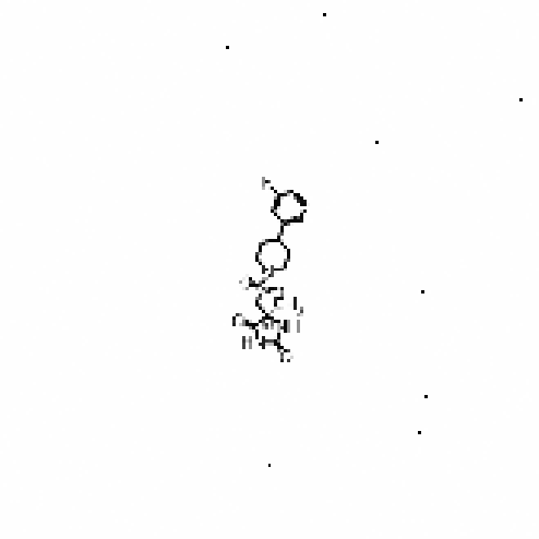 C[C@]1(CS(=O)(=O)N2CCC(c3cccc(F)c3)CC2)NC(=O)NC1=O